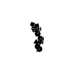 CC(C)(C)[C@H](NC(=O)c1ccc(-c2cnc3ncc(C4(c5ccc6ncccc6c5)CC4)n3c2)cn1)C(=O)N1CCC1